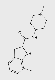 Cc1cccc2c1NC(C(=O)NC1CCN(C)CC1)C2